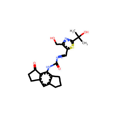 CC(C)(O)c1nc(CO)c(/C=N/C(=O)Nc2c3c(cc4c2C(=O)CC4)CCC3)s1